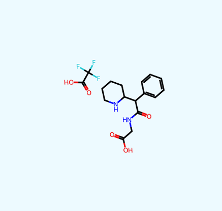 O=C(O)C(F)(F)F.O=C(O)CNC(=O)C(c1ccccc1)C1CCCCN1